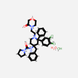 Cl.O.O=C1COCCN1CCN1CCC(Cc2ccccc2)(NC(=O)N2CCCC2)CC1(c1ccccc1)c1ccc(Cl)c(Cl)c1